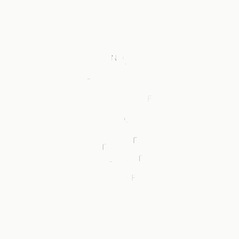 O=[N+]([O-])c1cc(F)c(OCC(F)(F)C(F)(F)C(F)(F)F)c(F)c1F